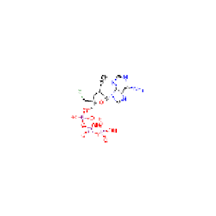 C#CC1C[C@@](CF)(COP(=O)(O)OP(=O)(O)OP(=O)(O)O)O[C@H]1n1cnc2c(N)ncnc21